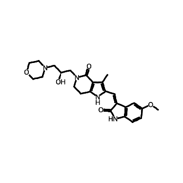 COc1ccc2c(c1)C(=Cc1[nH]c3c(c1C)C(=O)N(C[C@@H](O)CN1CCOCC1)CC3)C(=O)N2